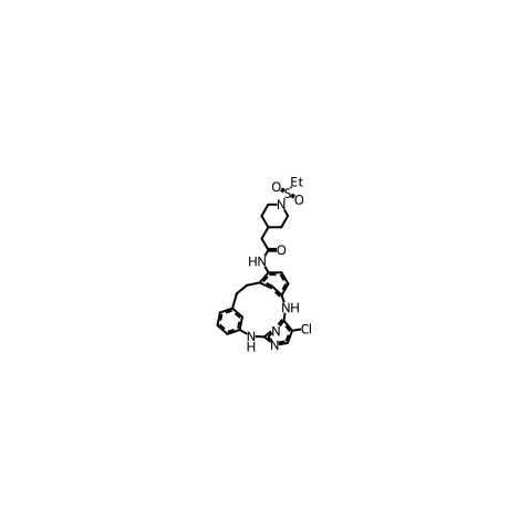 CCS(=O)(=O)N1CCC(CC(=O)Nc2ccc3cc2CCc2cccc(c2)Nc2ncc(Cl)c(n2)N3)CC1